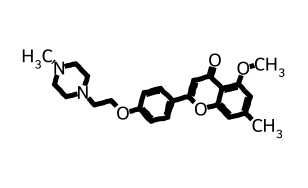 COc1cc(C)cc2oc(-c3ccc(OCCN4CCN(C)CC4)cc3)cc(=O)c12